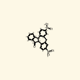 CCN(CC)c1ccc2c(c1)Cc1cc(N(CC)CC)ccc1C1c3ccccc3C(=O)C21